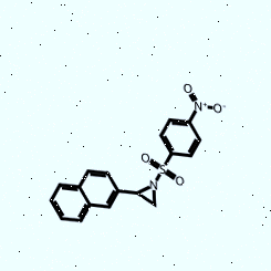 O=[N+]([O-])c1ccc(S(=O)(=O)N2CC2c2ccc3ccccc3c2)cc1